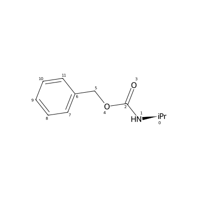 [CH2][C@H](C)NC(=O)OCc1ccccc1